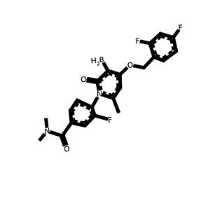 Bc1c(OCc2ccc(F)cc2F)cc(C)n(-c2ccc(C(=O)N(C)C)cc2F)c1=O